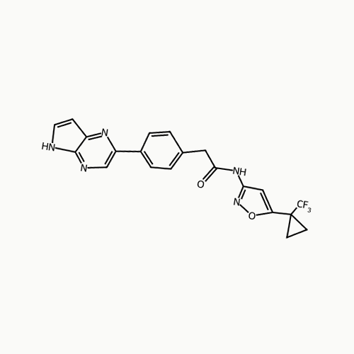 O=C(Cc1ccc(-c2cnc3[nH]ccc3n2)cc1)Nc1cc(C2(C(F)(F)F)CC2)on1